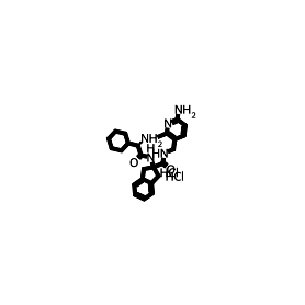 Cc1nc(N)ccc1CNC(=O)C1(NC(=O)[C@H](N)C2CCCCC2)Cc2ccccc2C1.Cl.Cl